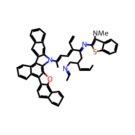 C=CC(=C\C=C(/C)n1c2cc3ccccc3cc2c2c3ccccc3c3c4ccc5ccccc5c4oc3c21)/C(CC(/C=C\C)C/N=C/C)=N/c1sc2ccccc2c1NC